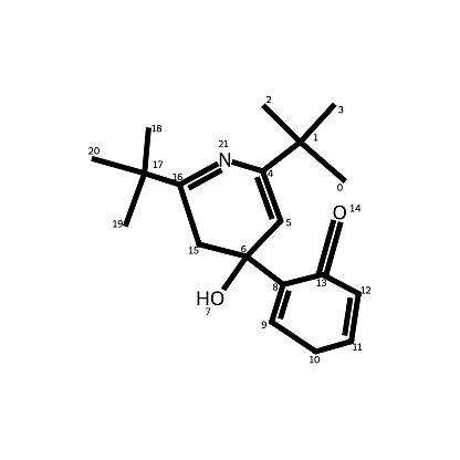 CC(C)(C)C1=CC(O)(C2=CCC=CC2=O)CC(C(C)(C)C)=N1